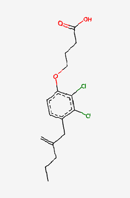 C=C(CCC)Cc1ccc(OCCCC(=O)O)c(Cl)c1Cl